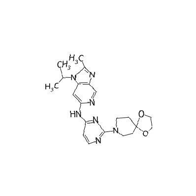 Cc1nc2cnc(Nc3ccnc(N4CCC5(CC4)OCCO5)n3)cc2n1C(C)C